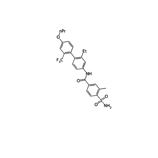 CCCOc1ccc(-c2ccc(NC(=O)c3ccc(S(N)(=O)=O)c(C)c3)cc2CC)c(C(F)(F)F)c1